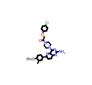 COc1ccc(-c2ccc3nc(N)nc(N4CCN(C(=O)COc5ccc(Cl)cc5)CC4)c3n2)cc1C